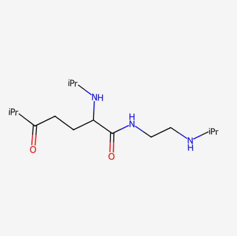 CC(C)NCCNC(=O)C(CCC(=O)C(C)C)NC(C)C